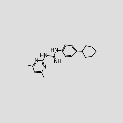 Cc1cc(C)nc(NC(=N)Nc2ccc(C3CCCCC3)cc2)n1